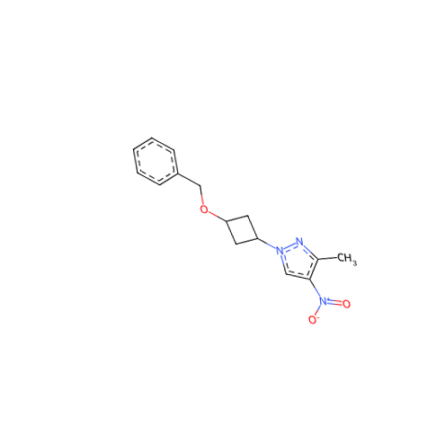 Cc1nn(C2CC(OCc3ccccc3)C2)cc1[N+](=O)[O-]